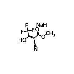 COC(=O)/C(C#N)=C(/O)C(F)(F)F.[NaH]